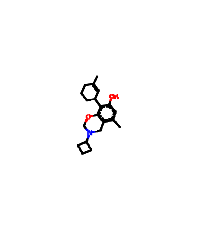 CC1=CC(c2c(O)cc(C)c3c2OCN(C2CCC2)C3)CCC1